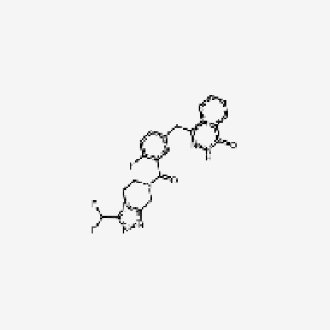 O=C(c1cc(Cc2n[nH]c(=O)c3ccccc23)ccc1F)N1CCn2c(nnc2C(F)F)C1